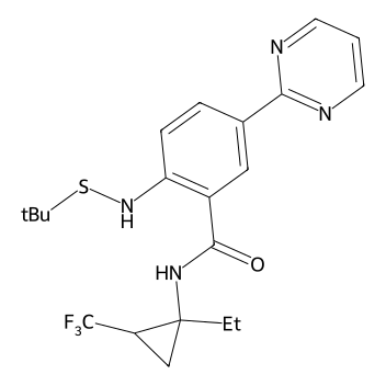 CCC1(NC(=O)c2cc(-c3ncccn3)ccc2NSC(C)(C)C)CC1C(F)(F)F